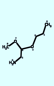 CCCOC(CN)OC